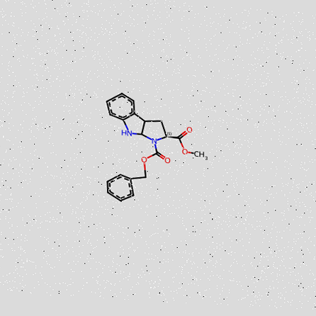 COC(=O)[C@@H]1CC2c3ccccc3NC2N1C(=O)OCc1ccccc1